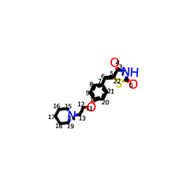 O=C1NC(=O)C(=Cc2ccc(OCCN3CCCCC3)cc2)S1